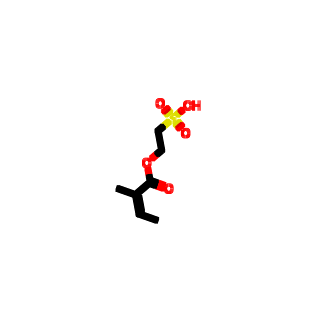 CC=C(C)C(=O)OCCS(=O)(=O)O